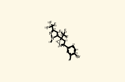 Cc1cc(C2=NOC(C3CC(C(F)(F)F)=NN3C)(C(F)(F)F)C2)ccc1Br